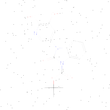 COc1cc(-n2c(=O)n(C(=O)OC(C)(C)C)c3ccccc32)cnc1OC